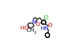 CC1(O)CCC(N2CCC(Cc3ccc(C(=O)NCc4ccccc4)cc3Cl)C2=O)CC1